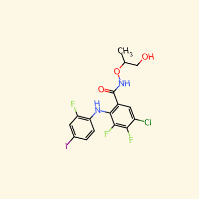 CC(CO)ONC(=O)c1cc(Cl)c(F)c(F)c1Nc1ccc(I)cc1F